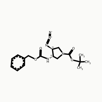 CC(C)(C)OC(=O)N1C[C@H](N=[N+]=[N-])[C@@H](NC(=O)OCc2ccccc2)C1